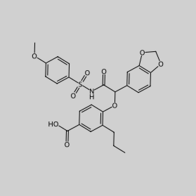 CCCc1cc(C(=O)O)ccc1OC(C(=O)NS(=O)(=O)c1ccc(OC)cc1)c1ccc2c(c1)OCO2